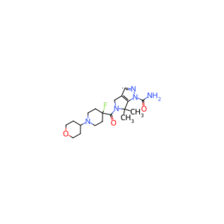 CC1(C)c2c([c]nn2C(N)=O)CN1C(=O)C1(F)CCN(C2CCOCC2)CC1